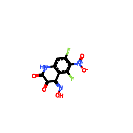 O=C1Nc2cc(F)c([N+](=O)[O-])c(F)c2C(=NO)C1=O